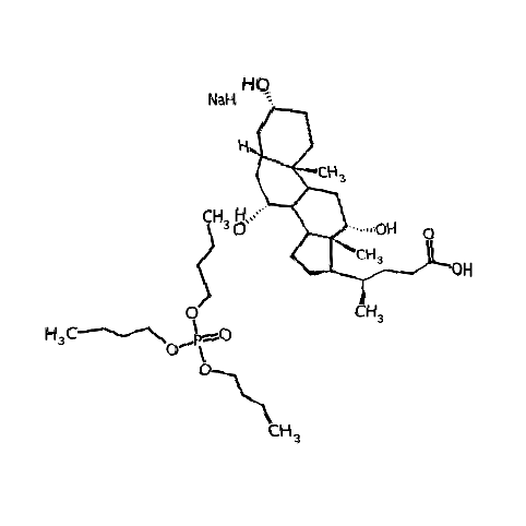 CCCCOP(=O)(OCCCC)OCCCC.C[C@H](CCC(=O)O)[C@H]1CCC2C3C(C[C@H](O)[C@@]21C)[C@@]1(C)CC[C@@H](O)C[C@H]1C[C@H]3O.[NaH]